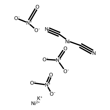 N#[C][Ni][C]#N.O=[N+]([O-])[O-].O=[N+]([O-])[O-].O=[N+]([O-])[O-].[K+].[Ni+2]